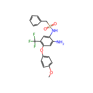 COc1ccc(Oc2cc(N)c(NS(=O)(=O)Cc3ccccc3)cc2C(F)(F)F)cc1